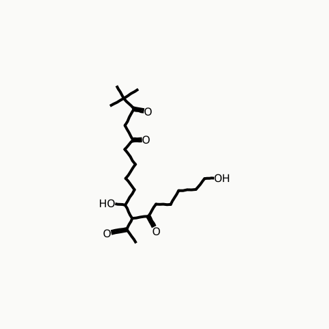 CC(=O)C(C(=O)CCCCCO)C(O)CCCCC(=O)CC(=O)C(C)(C)C